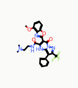 COc1cccc2oc(-c3c(C(=O)NCCN(C)C)[nH]c4c(-c5ccccc5)c(C(F)(F)F)nn4c3=O)nc12